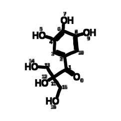 O=C(c1cc(O)c(O)c(O)c1)C(O)(CO)CO